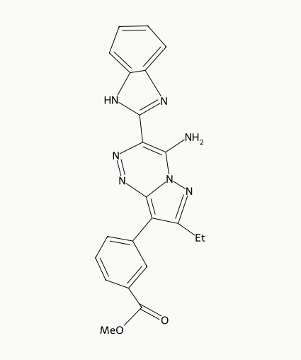 CCc1nn2c(N)c(-c3nc4ccccc4[nH]3)nnc2c1-c1cccc(C(=O)OC)c1